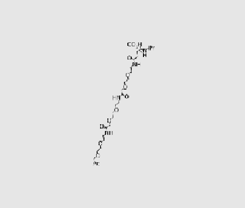 CC(=O)COCCOCCNC(=O)COCCOCCNC(=O)COCCOCCNC(=O)CC[C@H](NC(C)C)C(=O)O